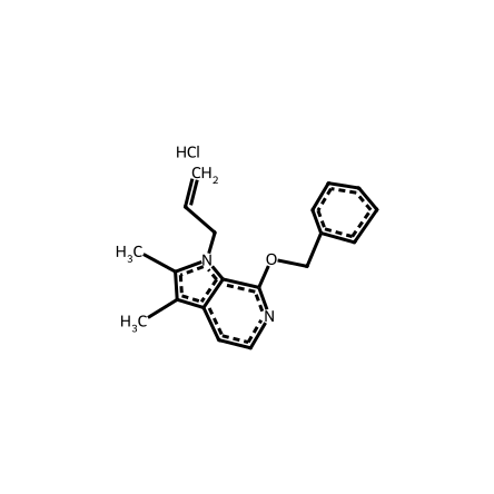 C=CCn1c(C)c(C)c2ccnc(OCc3ccccc3)c21.Cl